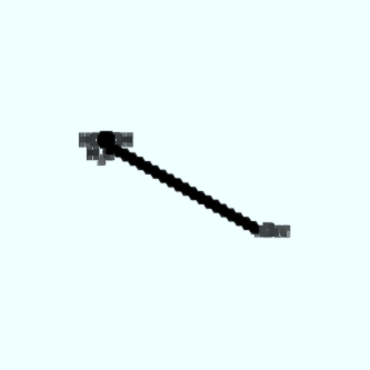 CCCCCCCCCCCCCCCCCCCCCCCCCCCCCCCCCCCCCCCCCCCCCCCCC(C)c1cc(O)ccc1O